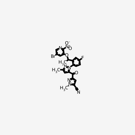 Cc1cc(C(=O)c2cc(C#N)n(C)n2)n(-c2ccc(F)cc2C(C)Oc2cc(Br)cnc2[N+](=O)[O-])n1